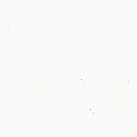 CC1(C)CCN(c2c(-c3ccc(OCCc4ccc(F)cc4)cc3)cncc2[C@H](OC(C)(C)C)C(=O)O)CC1